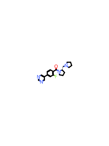 O=C(c1ccc(-c2cncnc2)cc1F)N1CCC[C@H]1CN1CCCC1